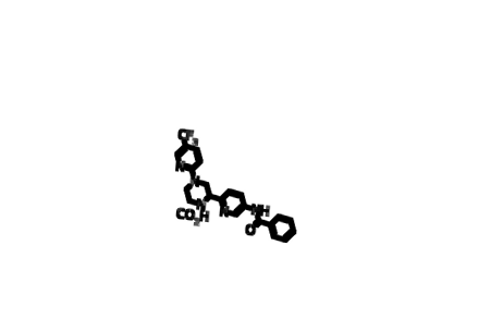 O=C(Nc1ccc(C2CN(c3ccc(C(F)(F)F)cn3)CCN2C(=O)O)nc1)c1ccccc1